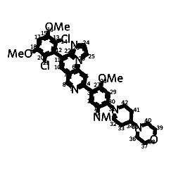 CNc1cc(-c2cc3c(cn2)cc(-c2c(Cl)c(OC)cc(OC)c2Cl)c2nccn23)c(OC)cc1N1CCC(N2CCOCC2)CC1